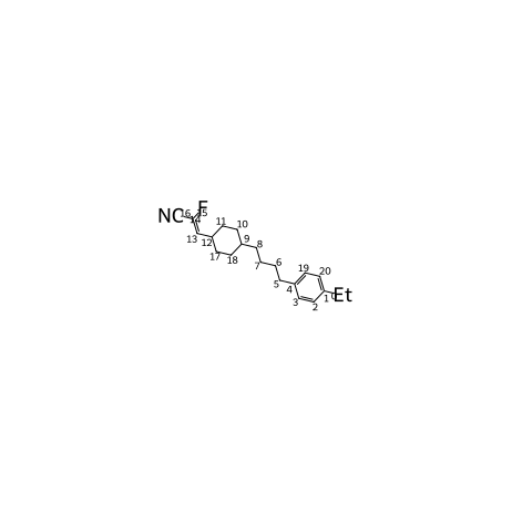 CCc1ccc(CCCCC2CCC(C=C(F)C#N)CC2)cc1